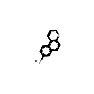 O=C(O)c1ccc2c3c(ccc2c1)OCC=C3